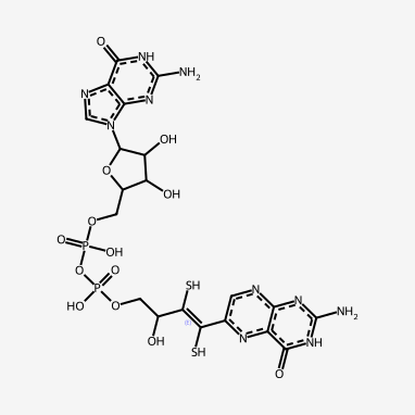 Nc1nc2ncc(/C(S)=C(\S)C(O)COP(=O)(O)OP(=O)(O)OCC3OC(n4cnc5c(=O)[nH]c(N)nc54)C(O)C3O)nc2c(=O)[nH]1